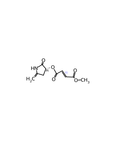 C=C1C[C@@H](OC(=O)/C=C/C(=O)OC)C(=O)N1